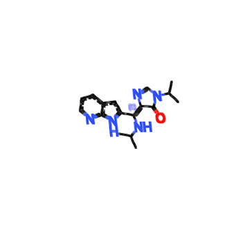 CC(C)N/C(=C1/N=CN(C(C)C)C1=O)c1cc2cccnc2[nH]1